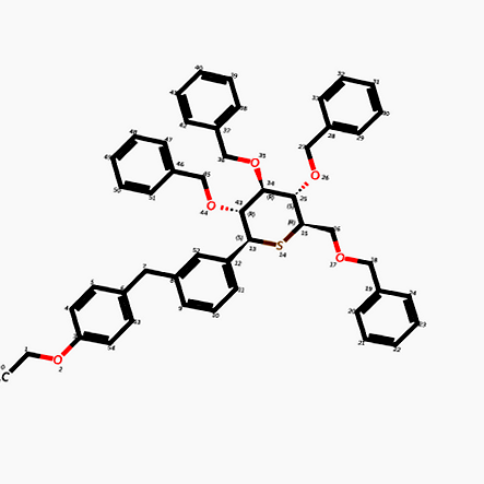 CCOc1ccc(Cc2cccc([C@@H]3S[C@H](COCc4ccccc4)[C@@H](OCc4ccccc4)[C@H](OCc4ccccc4)[C@H]3OCc3ccccc3)c2)cc1